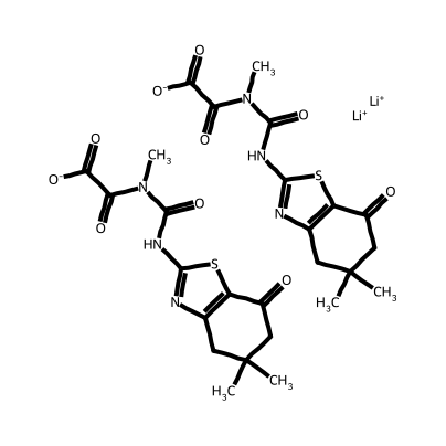 CN(C(=O)Nc1nc2c(s1)C(=O)CC(C)(C)C2)C(=O)C(=O)[O-].CN(C(=O)Nc1nc2c(s1)C(=O)CC(C)(C)C2)C(=O)C(=O)[O-].[Li+].[Li+]